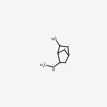 CNC1CC2CC(O)C1C2